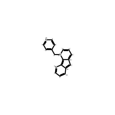 c1cnc2c3n(Cc4ccncc4)cccc-3cc2c1